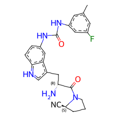 Cc1cc(F)cc(NC(=O)Nc2ccc3[nH]cc(C[C@@H](N)C(=O)N4CCC[C@H]4C#N)c3c2)c1